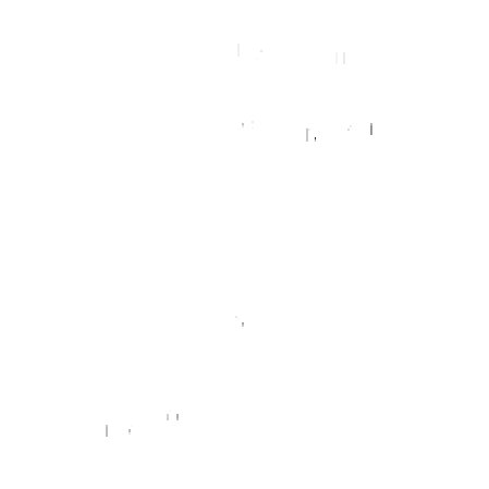 COCCN1CCC(CCN(C)C(=O)C(C)C)CC1